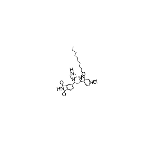 CCCCCCCCCCOn1nc(CC(c2ccc3c(c2)C(=O)NC3=O)N2CCNCC2)c2ccc(F)cc21.Cl